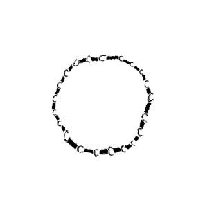 C1CCCCCCCCCCOCCCCCCCCC1